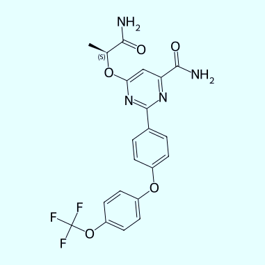 C[C@H](Oc1cc(C(N)=O)nc(-c2ccc(Oc3ccc(OC(F)(F)F)cc3)cc2)n1)C(N)=O